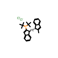 CC1=Cc2ccccc2[CH]1[Hf+2][CH]1C(P(C(C)(C)C)C(C)(C)C)=Cc2ccccc21.[Cl-].[Cl-]